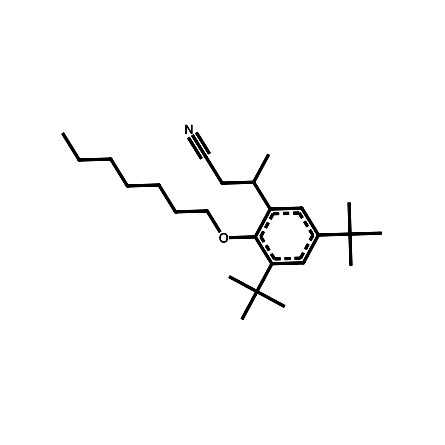 CCCCCCCOc1c(C(C)CC#N)cc(C(C)(C)C)cc1C(C)(C)C